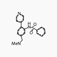 CNCc1ccc(-c2ccncc2)c(NS(=O)(=O)c2ccccc2)c1